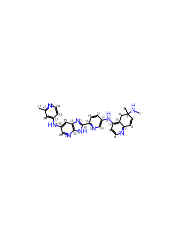 CNC1(C)C=Cc2nccc(Nc3ccc(-c4nc5cc(Nc6ccnc(C)c6)cnc5[nH]4)nc3)c2C1